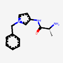 C[C@@H](N)C(=O)Nc1ccn(Cc2ccccc2)c1